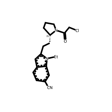 CCn1c(CC[C@@H]2CCCN2C(=O)CCl)cc2ccc(C#N)cc21